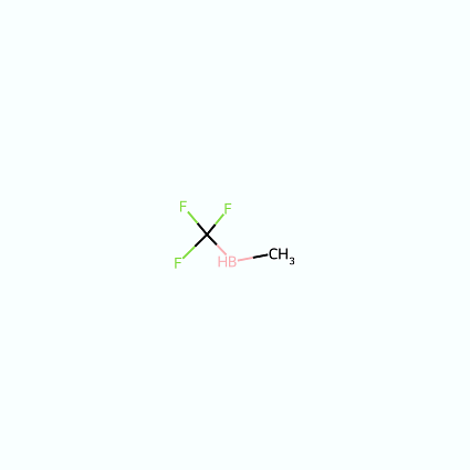 CBC(F)(F)F